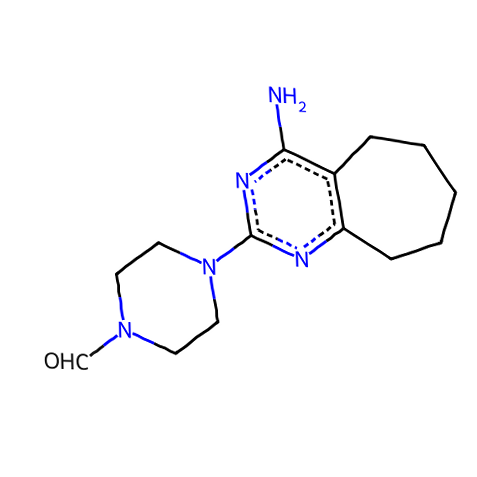 Nc1nc(N2CCN(C=O)CC2)nc2c1CCCCC2